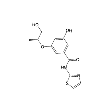 C[C@@H](CO)Oc1cc(O)cc(C(=O)Nc2nccs2)c1